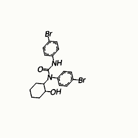 O=C(Nc1ccc(Br)cc1)N(c1ccc(Br)cc1)C1CCCCC1O